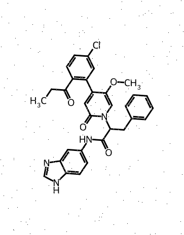 CCC(=O)c1ccc(Cl)cc1-c1cc(=O)n(C(Cc2ccccc2)C(=O)Nc2ccc3[nH]cnc3c2)cc1OC